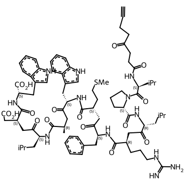 C#CCCC(=O)CCC(=O)N[C@H](C(=O)N1CCC[C@H]1C(=O)N[C@H](CC(C)C)C(=O)C[C@@H](CCCNC(=N)N)C(=O)N[C@@H](Cc1ccccc1)C(=O)C[C@@H](CCSC)C(=O)N[C@@H](Cc1c[nH]c2ccccc12)C(=O)C[C@@H](C)C(=O)N[C@@H](CC(C)C)C(=O)C[C@@H](CC(=O)O)C(=O)N[C@@H](Cc1c[nH]c2ccccc12)C(=O)O)C(C)C